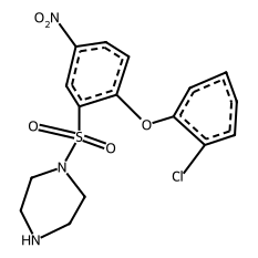 O=[N+]([O-])c1ccc(Oc2ccccc2Cl)c(S(=O)(=O)N2CCNCC2)c1